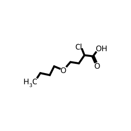 CCCCOCCC(Cl)C(=O)O